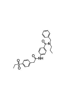 CCCN(Cc1ccccc1)C(=O)c1ccc(NC(=O)Cc2ccc(S(=O)(=O)CC)cc2)cc1